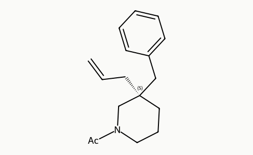 C=CC[C@]1(Cc2ccccc2)CCCN(C(C)=O)C1